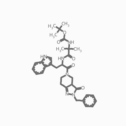 CC(C)(C)OC(=O)NC(C)(C)C(=O)NC(Cc1c[nH]c2ccccc12)C(=O)N1CCC2=NN(Cc3ccccc3)C(=O)C2C1